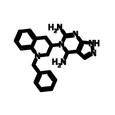 NC1=Nc2[nH]ncc2C(N)N1C1Cc2ccccc2N(Cc2ccccc2)C1